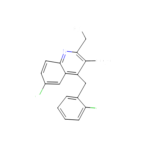 CCOC(=O)c1c(CC(F)(F)F)nc2ccc(Cl)cc2c1Cc1ccccc1Cl